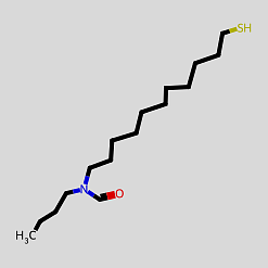 CCCCN(C=O)CCCCCCCCCCCS